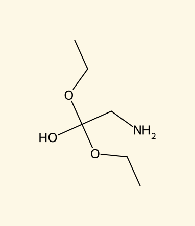 CCOC(O)(CN)OCC